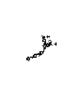 O=C(O)c1ccc(OCCCc2ccc(OCc3ccc(/C=C/c4ccccc4)cc3)cc2)c(C(=O)N2CCC(C(=O)O)CC2)c1